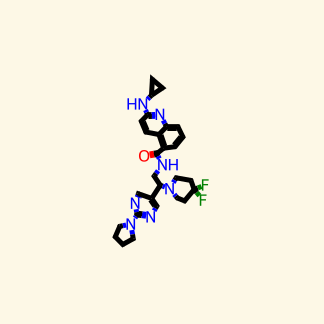 O=C(NCC(c1cnc(N2CCCC2)nc1)N1CCC(F)(F)CC1)c1cccc2nc(NC3CC3)ccc12